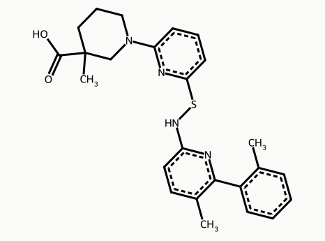 Cc1ccccc1-c1nc(NSc2cccc(N3CCCC(C)(C(=O)O)C3)n2)ccc1C